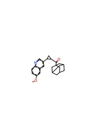 COc1ccc2ncc(C3CC3C(=O)C34CC5CC(CC(C5)C3)C4)cc2c1